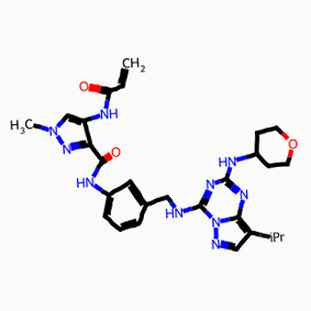 C=CC(=O)Nc1cn(C)nc1C(=O)Nc1cccc(CNc2nc(NC3CCOCC3)nc3c(C(C)C)cnn23)c1